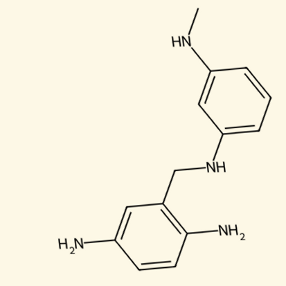 CNc1cccc(NCc2cc(N)ccc2N)c1